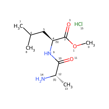 COC(=O)[C@H](CC(C)C)NC(=O)[C@H](C)N.Cl